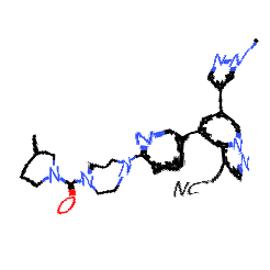 CC1CCN(C(=O)N2CCN(c3ccc(-c4cc(-c5cnn(C)c5)cn5ncc(C#N)c45)cn3)CC2)C1